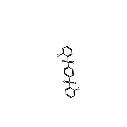 O=S(=O)(c1ccc(S(=O)(=O)c2ccccc2Cl)cc1)c1ccccc1Cl